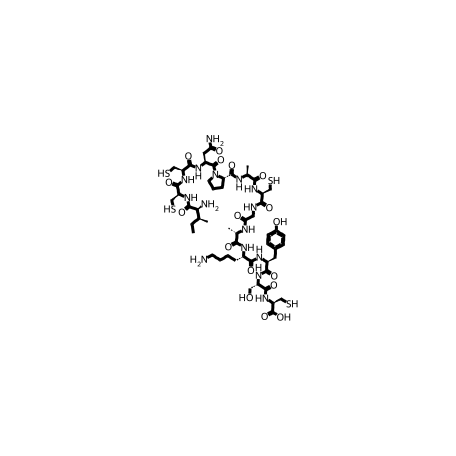 CC[C@H](C)[C@H](N)C(=O)N[C@@H](CS)C(=O)N[C@@H](CS)C(=O)N[C@@H](CC(N)=O)C(=O)N1CCC[C@H]1C(=O)N[C@@H](C)C(=O)N[C@@H](CS)C(=O)NCC(=O)N[C@@H](C)C(=O)N[C@@H](CCCCN)C(=O)N[C@@H](Cc1ccc(O)cc1)C(=O)N[C@@H](CO)C(=O)N[C@@H](CS)C(=O)O